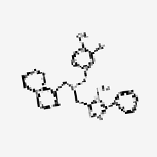 CCCCn1c(CN(Cc2ccc(C)c(Br)c2)Cc2cccc3ccccc23)cnc1-c1ccccc1